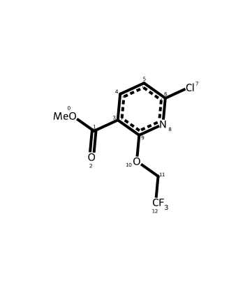 COC(=O)c1ccc(Cl)nc1OCC(F)(F)F